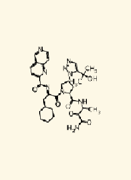 CC(NC(=O)[C@@H]1C[C@H](n2nncc2C(C)(C)O)CN1C(=O)/C(CC1CCCCC1)=N/C(=O)c1ccc2cnccc2n1)C(=O)C(N)=O